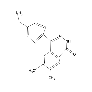 Cc1cc2c(-c3ccc(CN)cc3)n[nH]c(=O)c2cc1C